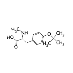 CN[C@H](Cc1ccc(OC(C)(C)C)cc1)C(=O)O